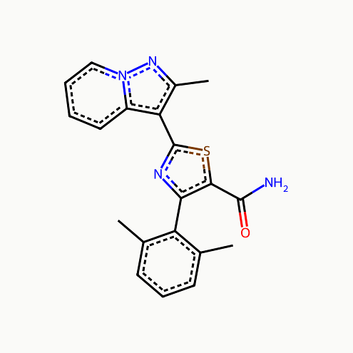 Cc1cccc(C)c1-c1nc(-c2c(C)nn3ccccc23)sc1C(N)=O